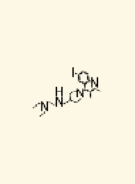 CCN(CC)CCNCC1CCN(c2c(C)c(C)nc3ccc(I)cc23)CC1